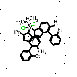 CCc1ccccc1-c1c(C)ccc2c1C=C(C(C)C)[CH]2[Zr]([Cl])([Cl])([CH]1C(C(C)C)=Cc2c1ccc(C)c2-c1ccccc1CC)[SiH](C)C